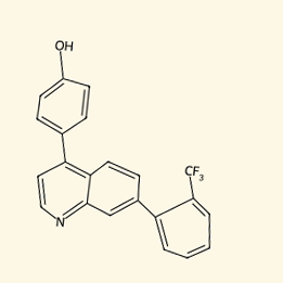 Oc1ccc(-c2ccnc3cc(-c4ccccc4C(F)(F)F)ccc23)cc1